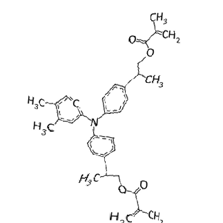 C=C(C)C(=O)OCC(C)c1ccc(N(c2ccc(C(C)COC(=O)C(=C)C)cc2)c2ccc(C)c(C)c2)cc1